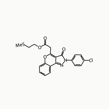 CSCCOC(=O)Cc1oc2ccccc2c2nn(-c3ccc(Cl)cc3)c(=O)c1-2